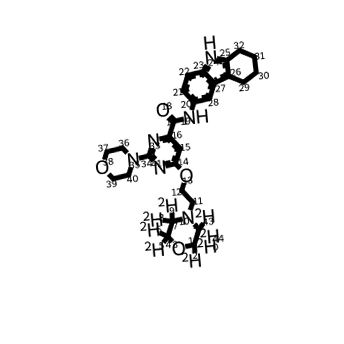 [2H]C1([2H])OC([2H])([2H])C([2H])([2H])N(CCOc2cc(C(=O)Nc3ccc4[nH]c5c(c4c3)CCCC5)nc(N3CCOCC3)n2)C1([2H])[2H]